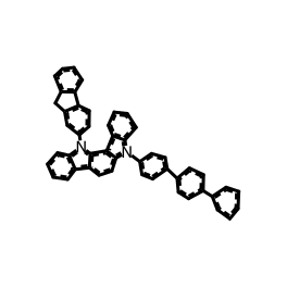 c1ccc(-c2ccc(-c3ccc(-n4c5ccccc5c5c4ccc4c6ccccc6n(-c6ccc7c(c6)Cc6ccccc6-7)c45)cc3)cc2)cc1